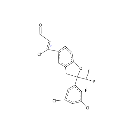 O=C/C=C(\Cl)c1ccc2c(c1)CC(c1cc(Cl)cc(Cl)c1)(C(F)(F)F)O2